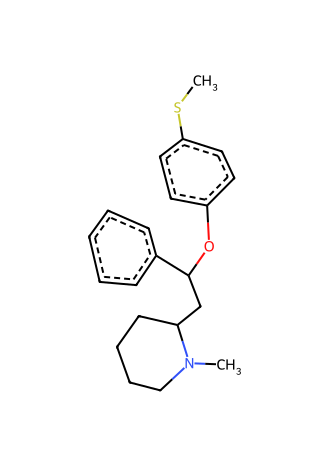 CSc1ccc(OC(CC2CCCCN2C)c2ccccc2)cc1